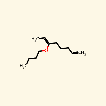 C=CCCCC(=CC)OCCCC